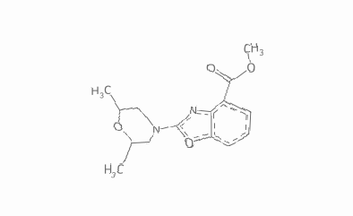 COC(=O)c1cccc2oc(N3CC(C)OC(C)C3)nc12